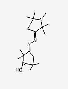 CN1C(C)(C)C/C(=N\N=C2/CC(C)(C)N(O)C2(C)C)C1(C)C